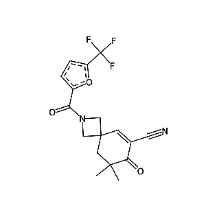 CC1(C)CC2(C=C(C#N)C1=O)CN(C(=O)c1ccc(C(F)(F)F)o1)C2